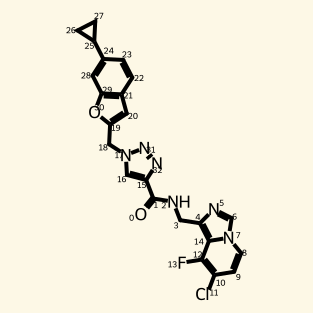 O=C(NCc1ncn2ccc(Cl)c(F)c12)c1cn(Cc2cc3ccc(C4CC4)cc3o2)nn1